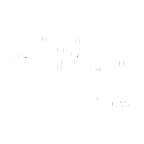 COC(=O)CCC(C)C1CC[C@H]2[C@@H]3CC[C@@H]4C[C@H](O)CC[C@]4(C)[C@H]3CC[C@]12C